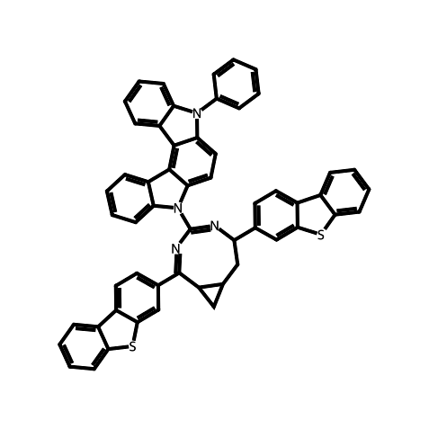 c1ccc(-n2c3ccccc3c3c4c5ccccc5n(C5=N/C(c6ccc7c(c6)sc6ccccc67)CC6CC6/C(c6ccc7c(c6)sc6ccccc67)=N\5)c4ccc32)cc1